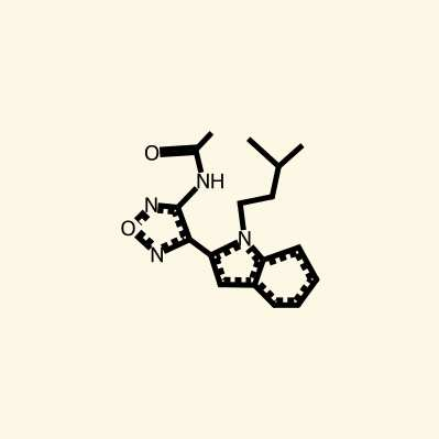 CC(=O)Nc1nonc1-c1cc2ccccc2n1CCC(C)C